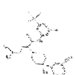 CN(C)CCN(C(=O)Nc1cc(F)cc(C(F)(F)F)c1)[C@H]1CC[C@](O)(c2cccc(C#N)c2)CC1